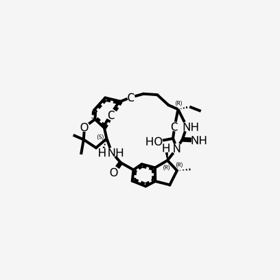 CC[C@]12CCCCc3ccc4c(c3)[C@H](CC(C)(C)O4)NC(=O)c3ccc4c(c3)[C@@H]([C@H](C)C4)N(C(=N)N1)C(O)C2